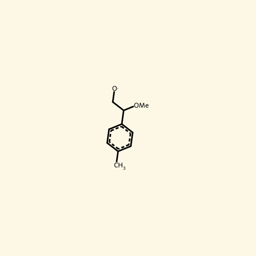 COC(C[O])c1ccc(C)cc1